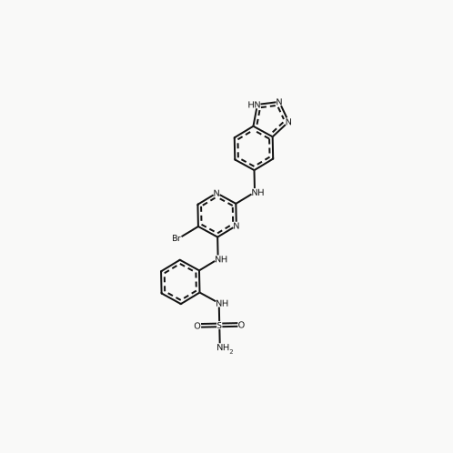 NS(=O)(=O)Nc1ccccc1Nc1nc(Nc2ccc3[nH]nnc3c2)ncc1Br